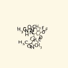 CNC(=O)N1N=C(c2ccc(-c3c(C)noc3C)cc2)c2cc(OC)c(OC(F)F)cc2CC1C